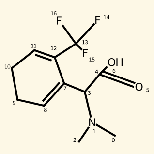 CN(C)C(C(=O)O)C1=CCCC=C1C(F)(F)F